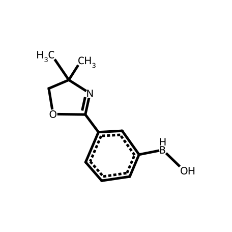 CC1(C)COC(c2cccc(BO)c2)=N1